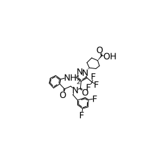 Nc1ccccc1C(=O)CN(Cc1cc(F)cc(F)c1)C(=O)c1cnn([C@H]2CC[C@H](C(=O)O)CC2)c1C(F)(F)F